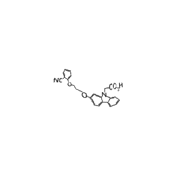 N#Cc1ccccc1OCCCOc1ccc2c3ccccc3n(CC(=O)O)c2c1